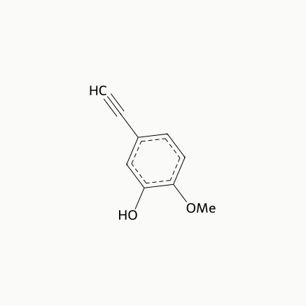 C#Cc1ccc(OC)c(O)c1